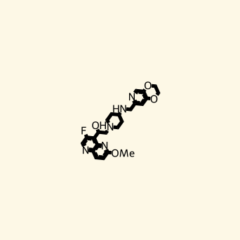 COc1ccc2ncc(F)c(C(O)CN3CCC(NCc4cc5c(cn4)OCCO5)CC3)c2n1